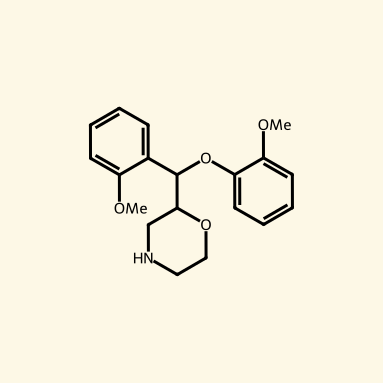 COc1ccccc1OC(c1ccccc1OC)C1CNCCO1